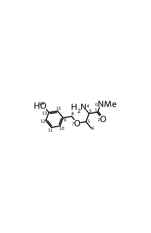 CNC(=O)C(N)C(C)OCc1cccc(O)c1